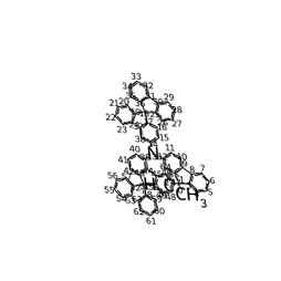 CC1(C)c2ccccc2-c2ccc(N(c3ccc(C4(c5ccccc5)c5ccccc5-c5ccccc54)cc3)c3cccc4c3-c3ccccc3C4(c3ccccc3)c3ccccc3)cc21